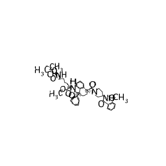 COC(=O)[C@@H](CCCCNC(=O)OC(C)(C)C)NC(=O)[C@@]1(c2ccccc2)CC[C@H](C(=O)N2CCC(NC(=O)c3ccccc3OC)CC2)c2ccccc21